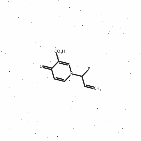 C=CC(F)n1ccc(=O)c(C(=O)O)c1